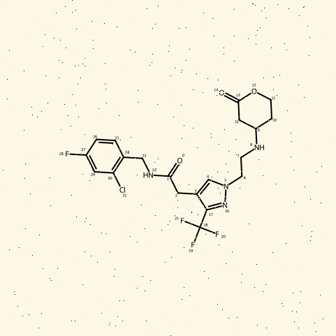 O=C(Cc1cn(CCNC2CCOC(=O)C2)nc1C(F)(F)F)NCc1ccc(F)cc1Cl